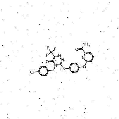 NC(=O)c1cccc(Oc2ccc(Nc3nnc(C(F)(F)F)c(=O)n3Cc3ccc(Cl)cc3)cc2)n1